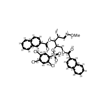 CON=CC(F)C(OC(=O)c1ccc2ccccc2c1)C(COC(=O)c1ccc2ccccc2c1)OS(=O)(=O)c1cc(Cl)c(Cl)cc1Cl